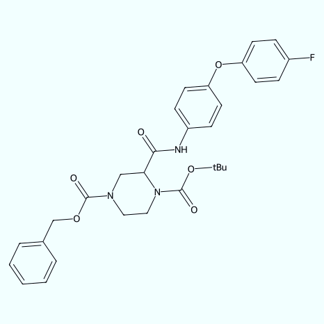 CC(C)(C)OC(=O)N1CCN(C(=O)OCc2ccccc2)CC1C(=O)Nc1ccc(Oc2ccc(F)cc2)cc1